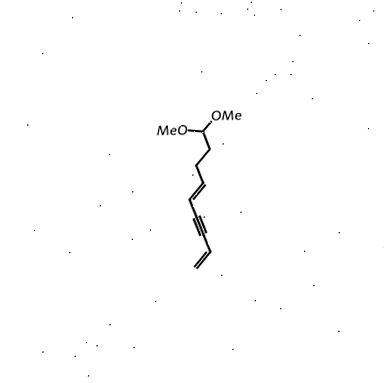 C=CC#CC=CCCC(OC)OC